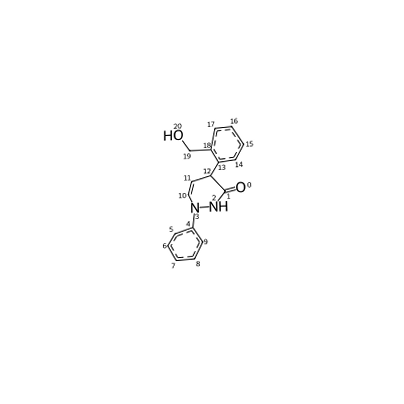 O=C1NN(c2ccccc2)C=CC1c1ccccc1CO